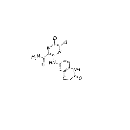 CCc1nc(C(N)=O)c(Nc2ccc3c(c2)OCC(=O)N3)nc1Cl